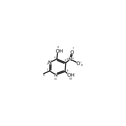 Cc1nc(O)c([N+](=O)[O-])c(O)n1